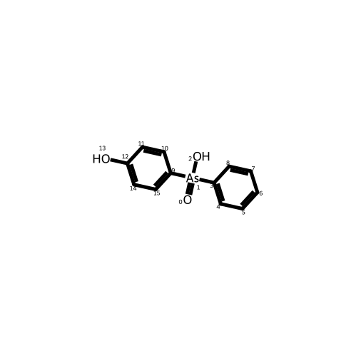 O=[As](O)(c1ccccc1)c1ccc(O)cc1